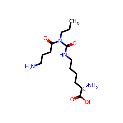 CCCN(C(=O)CCCN)C(=O)NCCCC[C@H](N)C(=O)O